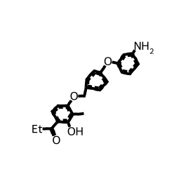 CCC(=O)c1ccc(OCc2ccc(Oc3cccc(N)c3)cc2)c(C)c1O